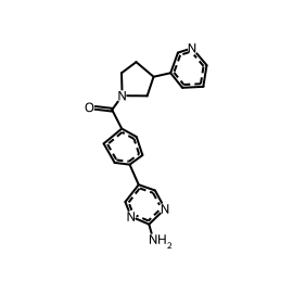 Nc1ncc(-c2ccc(C(=O)N3CCC(c4cccnc4)C3)cc2)cn1